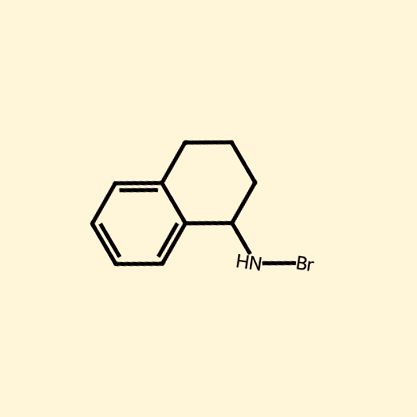 BrNC1CCCc2ccccc21